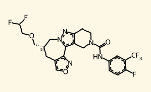 O=C(Nc1ccc(F)c(C(F)(F)F)c1)N1CCc2nn3c(c2C1)-c1nocc1C[C@H](COCC(F)F)C3